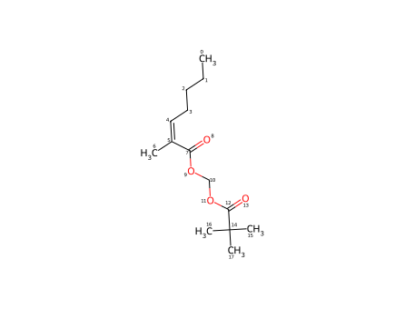 CCCCC=C(C)C(=O)OCOC(=O)C(C)(C)C